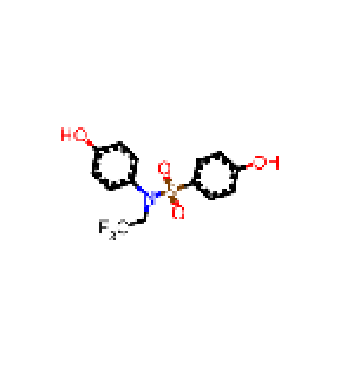 O=S(=O)(c1ccc(O)cc1)N(CC(F)(F)F)c1ccc(O)cc1